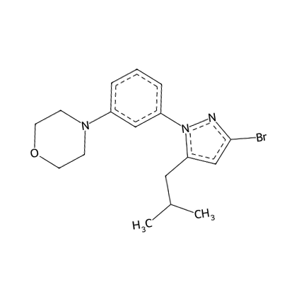 CC(C)Cc1cc(Br)nn1-c1cccc(N2CCOCC2)c1